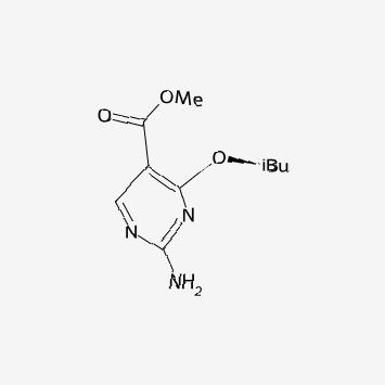 CC[C@H](C)Oc1nc(N)ncc1C(=O)OC